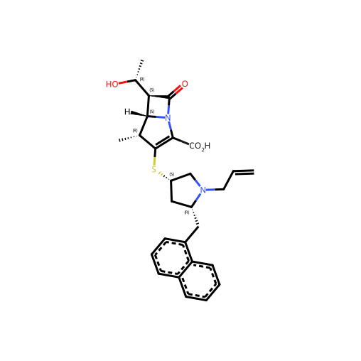 C=CCN1C[C@@H](SC2=C(C(=O)O)N3C(=O)[C@H]([C@@H](C)O)[C@H]3[C@H]2C)C[C@H]1Cc1cccc2ccccc12